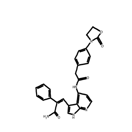 NC(=O)C(=Cc1c[nH]c2nccc(NC(=O)Cc3ccc(N4CCOC4=O)cc3)c12)c1ccccc1